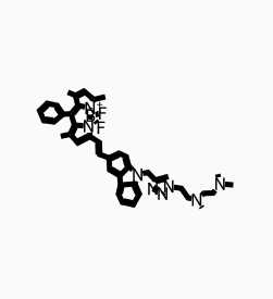 CC1=CC(C)=[N+]2C1=C(c1ccccc1)c1c(C)cc(/C=C/c3ccc4c(c3)c3ccccc3n4Cc3cn(CCN(C)CCN(C)C)nn3)n1[B-]2(F)F